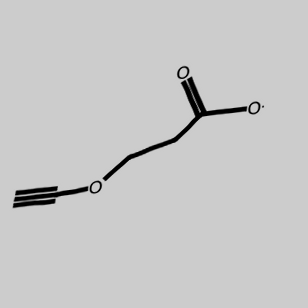 C#COCCC([O])=O